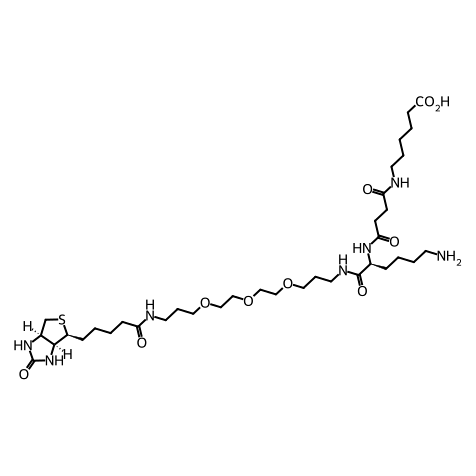 NCCCC[C@H](NC(=O)CCC(=O)NCCCCCC(=O)O)C(=O)NCCCOCCOCCOCCCNC(=O)CCCC[C@@H]1SC[C@@H]2NC(=O)N[C@@H]21